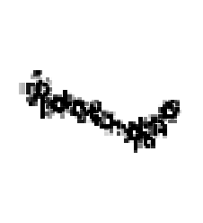 O=C1CCC(Nc2ccc(N3CCN(C(=O)CN4CCC(COc5cc(F)c6c(=O)[nH]c(CSC7CCOCC7)nc6c5)CC4)CC3)c(F)c2)C(=O)N1